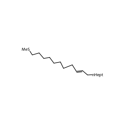 CCCCCCCCC=CCCCCCCCCSC